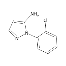 Nc1ccnn1-c1ccccc1Cl